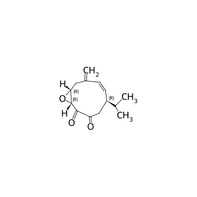 C=C1C=C[C@@H](C(C)C)CC(=O)C(=O)[C@@H]2O[C@@H]2C1